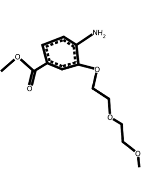 COCCOCCOc1cc(C(=O)OC)ccc1N